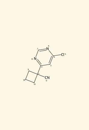 N#CC1(c2cc(Cl)ncn2)CCC1